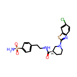 NS(=O)(=O)c1ccc(CCNC(=O)[C@@H]2CCCN(c3nc4ccc(Cl)cc4s3)C2)cc1